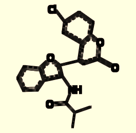 CC(C)C(=O)Nc1c(-c2cc(=O)oc3ccc(Cl)cc23)oc2ccccc12